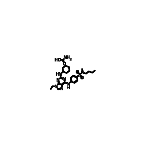 CCCCN(C)S(=O)(=O)c1ccc(Nc2nc(NC3CCCCC3)nc3c2ncn3CC)cc1.NC(=O)O